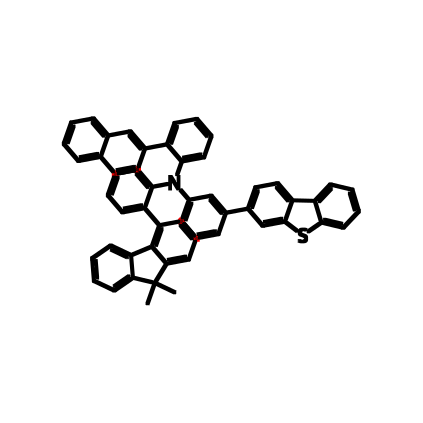 CC1(C)c2ccccc2-c2c(-c3ccccc3N(c3cccc(-c4ccc5c(c4)sc4ccccc45)c3)c3ccccc3-c3ccc4ccccc4c3)cccc21